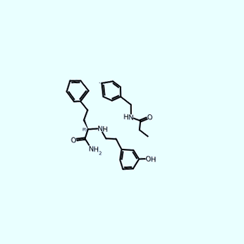 CCC(=O)NCc1cc[c]cc1.NC(=O)[C@@H](CCc1ccccc1)NCCc1cccc(O)c1